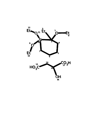 CCOC1(CC)CCCC[Si]1(OCC)OCC.O=C(O)CC(O)C(=O)O